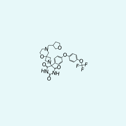 O=C1NC(=O)C(c2ccc(Oc3ccc(OC(F)(F)F)cc3)cc2)(N2CC3(CN(CC4CCOC4)CCO3)C2)C(=O)N1